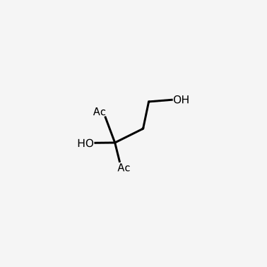 CC(=O)C(O)(CCO)C(C)=O